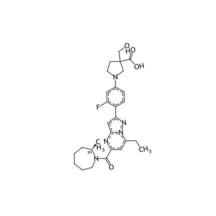 CCc1cc(C(=O)N2CCCCC[C@H]2C)nc2cc(-c3ccc(N4CCC(CO)(C(=O)O)C4)cc3F)nn12